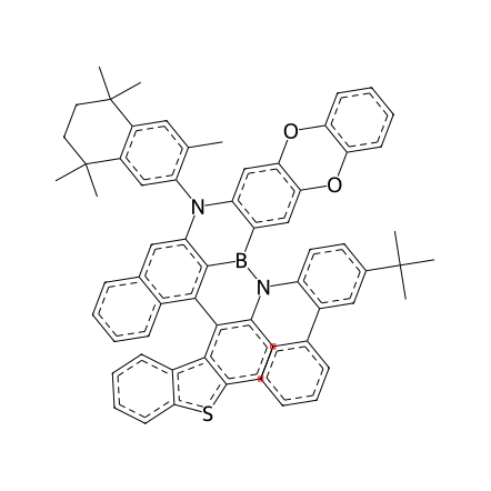 Cc1cc2c(cc1N1c3cc4c(cc3B3c5c1cc1ccccc1c5-c1c(ccc5sc6ccccc6c15)N3c1ccc(C(C)(C)C)cc1-c1ccccc1)Oc1ccccc1O4)C(C)(C)CCC2(C)C